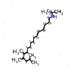 CC(C)CC(C)C(C)CCCCCCCCCCCCNC(C)C